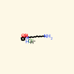 NCCCCCCCCCCCCNC(=O)c1ccccc1O.[Cl-].[H+]